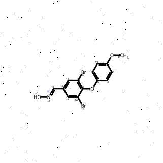 COc1ccc(Oc2c(Br)cc(/C=N/O)cc2Br)cc1